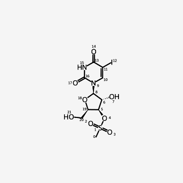 CS(=O)(=O)O[C@@H]1[C@@H](O)[C@H](n2cc(I)c(=O)[nH]c2=O)O[C@@H]1CO